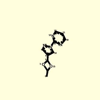 CC1OC(c2cnn(-c3ncccn3)c2)O1